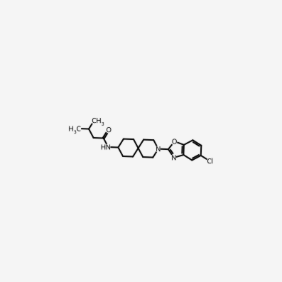 CC(C)CC(=O)NC1CCC2(CC1)CCN(c1nc3cc(Cl)ccc3o1)CC2